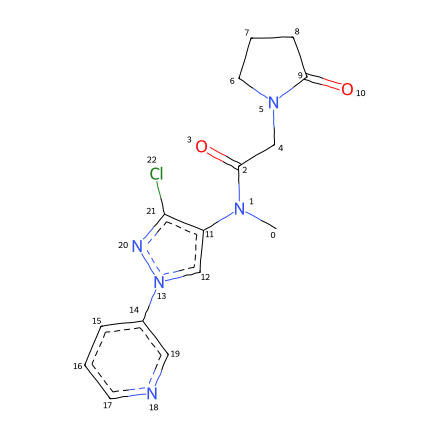 CN(C(=O)CN1CCCC1=O)c1cn(-c2cccnc2)nc1Cl